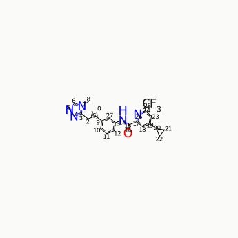 C[C@@H](Cc1nncn1C)c1cccc(NC(=O)c2cc(C3CC3)cc(C(F)(F)F)n2)c1